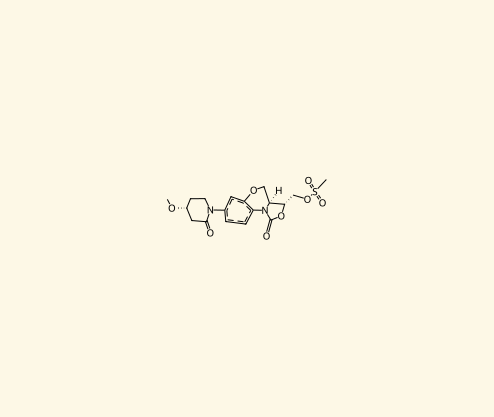 CO[C@@H]1CCN(c2ccc3c(c2)OC[C@H]2[C@H](COS(C)(=O)=O)OC(=O)N32)C(=O)C1